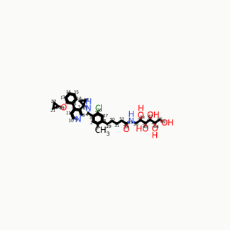 Cc1cc(CNC2(c3cnccc3-c3ccccc3OC3CC3)CC2)c(Cl)cc1CCCCC(=O)NCC(O)C(O)C(O)C(O)CO